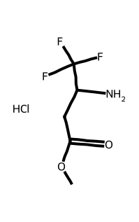 COC(=O)CC(N)C(F)(F)F.Cl